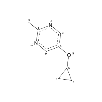 Cc1ncc(OC2CC2)cn1